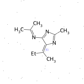 CC/C(C)=C1/N=C(C)N=C1N=C(C)C